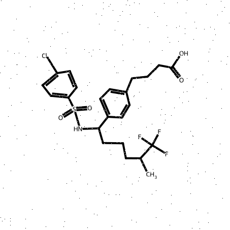 CC(CCCC(NS(=O)(=O)c1ccc(Cl)cc1)c1ccc(CCCC(=O)O)cc1)C(F)(F)F